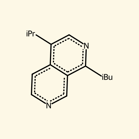 CCC(C)c1ncc(C(C)C)c2ccncc12